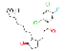 O=C(O)CCCCCCC1C(=O)CCC1C=CC(=O)c1cc(F)c(Cl)cc1Cl